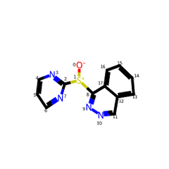 [O-][S+](c1ncccn1)c1nncc2ccccc12